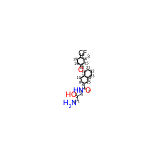 NC[C@H](O)CNC(=O)c1ccc2c(Oc3ccc(C(F)(F)F)cc3)cccc2c1